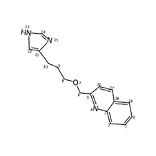 c1ccc2nc(COCCCc3c[nH]cn3)ccc2c1